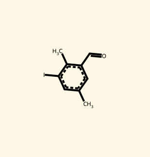 Cc1cc(I)c(C)c(C=O)c1